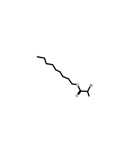 CCCCCCCCCOC(=O)C(C)Br